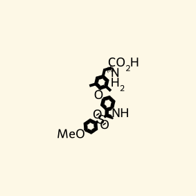 COc1ccc(S(=O)(=O)c2c[nH]c3ccc(Oc4c(C)cc(C[C@@H](N)C(=O)O)cc4C)cc23)cc1